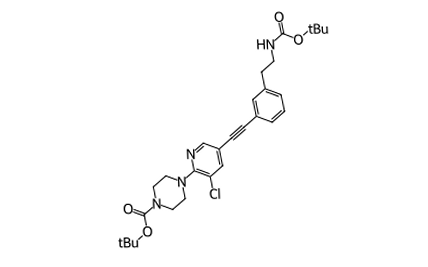 CC(C)(C)OC(=O)NCCc1cccc(C#Cc2cnc(N3CCN(C(=O)OC(C)(C)C)CC3)c(Cl)c2)c1